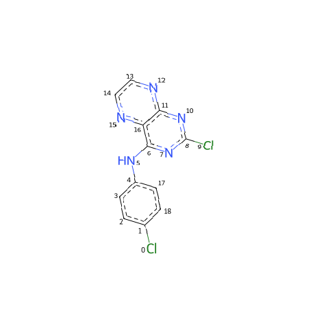 Clc1ccc(Nc2nc(Cl)nc3nccnc23)cc1